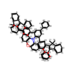 CC1(C)c2ccccc2-c2c1cc(-c1ccc3c(c1)N(c1c(-c4ccc(-c5ccccc5)cc4)cc(-c4ccccc4)cc1-c1ccc(-c4ccccc4)cc1)c1cc(-c4cc5c(c6ccccc46)-c4ccccc4C5(C)C)ccc1O3)c1ccccc21